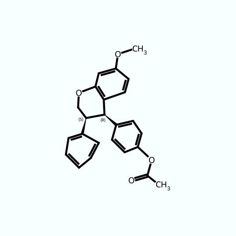 COc1ccc2c(c1)OC[C@H](c1ccccc1)[C@@H]2c1ccc(OC(C)=O)cc1